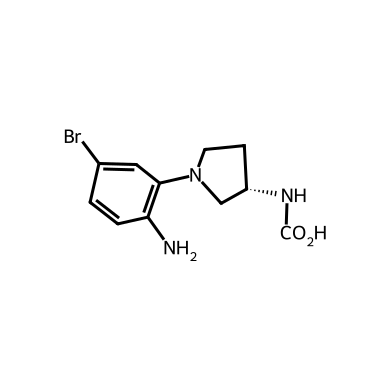 Nc1ccc(Br)cc1N1CC[C@H](NC(=O)O)C1